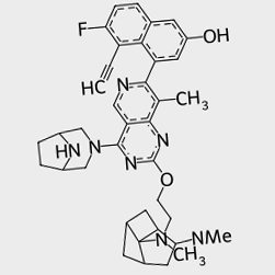 C#Cc1c(F)ccc2cc(O)cc(-c3ncc4c(N5CC6CCC(C5)N6)nc(OCCN(C)C56C7CC(NC)C5CC6C7)nc4c3C)c12